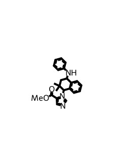 COC(=O)c1cncn1C1c2ccccc2C(Nc2ccccc2)CC1(C)C